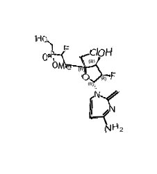 C=C1N=C(N)C=CN1[C@@H]1O[C@](CCl)(CC(F)P(=O)(CO)OC)[C@@H](O)[C@H]1F